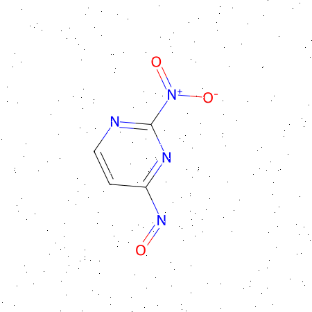 O=Nc1ccnc([N+](=O)[O-])n1